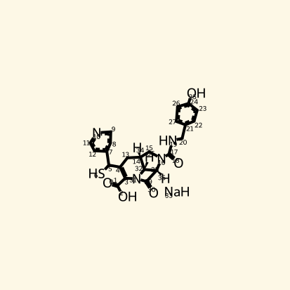 O=C(O)C1=C(C(S)c2ccncc2)C[C@@H]2CN(C(=O)NCc3ccc(O)cc3)[C@@H]3C(=O)N1[C@H]23.[NaH]